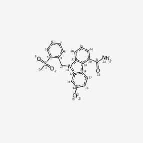 CS(=O)(=O)c1ccccc1Cn1c2cc(C(F)(F)F)c[c]c2c2c(C(N)=O)cccc21